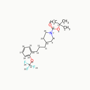 CC(C)(C)OC(=O)N1CCC(CCCc2ccccc2OC(F)(F)F)CC1